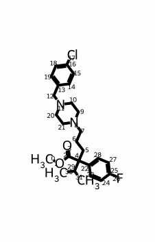 COC(=O)C(CCCN1CCN(Cc2ccc(Cl)cc2)CC1)(c1ccc(F)cc1)C(C)C